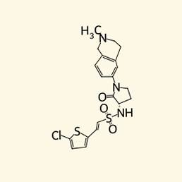 CN1CCc2cc(N3CC[C@H](NS(=O)(=O)/C=C/c4ccc(Cl)s4)C3=O)ccc2C1